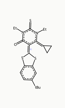 CCn1c(=O)/c(=C2\Sc3ccc(C(C)(C)C)cc3S2)c(=C2CC2)n(CC)c1=S